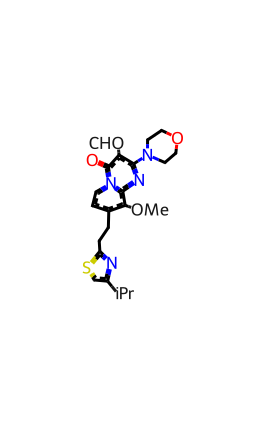 COc1c(CCc2nc(C(C)C)cs2)ccn2c(=O)c(C=O)c(N3CCOCC3)nc12